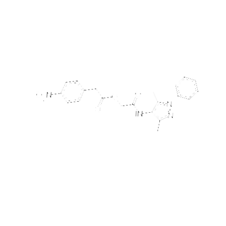 Cc1nn(-c2ccccc2)c(C)c1NC(=O)COC(=O)Cc1ccc([N+](=O)[O-])cc1